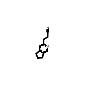 N#CCCc1cc2c(cn1)CCC2